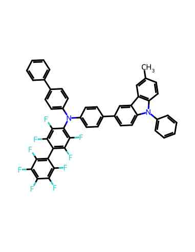 Cc1ccc2c(c1)c1cc(-c3ccc(N(c4ccc(-c5ccccc5)cc4)c4c(F)c(F)c(-c5c(F)c(F)c(F)c(F)c5F)c(F)c4F)cc3)ccc1n2-c1ccccc1